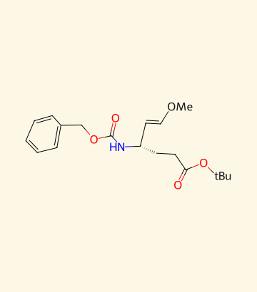 CO/C=C/[C@H](CCC(=O)OC(C)(C)C)NC(=O)OCc1ccccc1